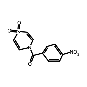 O=C(c1ccc([N+](=O)[O-])cc1)N1C=CS(=O)(=O)C=C1